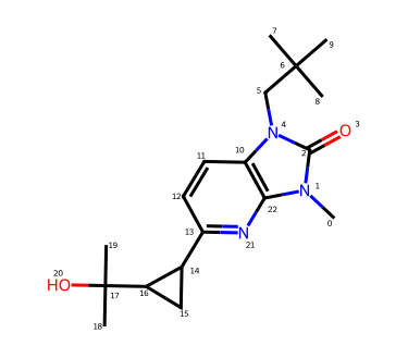 Cn1c(=O)n(CC(C)(C)C)c2ccc(C3CC3C(C)(C)O)nc21